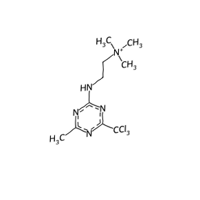 Cc1nc(NCC[N+](C)(C)C)nc(C(Cl)(Cl)Cl)n1